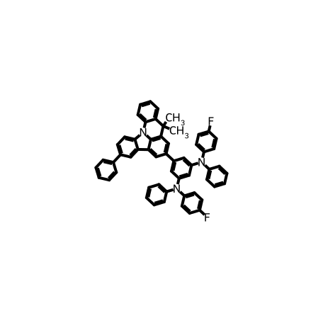 CC1(C)c2ccccc2-n2c3ccc(-c4ccccc4)cc3c3cc(-c4cc(N(c5ccccc5)c5ccc(F)cc5)cc(N(c5ccccc5)c5ccc(F)cc5)c4)cc1c32